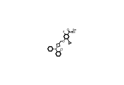 CSNC(=O)c1cc(C2CC2)c(OCC2CN([C@H](c3ccccc3)c3ccccc3Cl)C2)cc1F